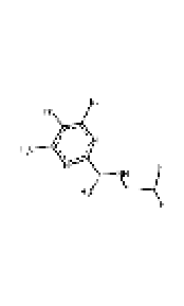 CCc1nc([C@@H](C)NCC(F)F)nc(C)c1C(C)C